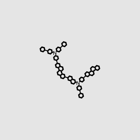 c1ccc(-c2ccc(N(c3ccc(-c4ccccc4)cc3)c3ccc(-c4ccc5c(ccc6c7cc(-c8ccc9cc(N(c%10ccc(-c%11ccccc%11)cc%10)c%10ccc(-c%11ccc%12c(ccc%13c%14ccccc%14ccc%12%13)c%11)cc%10)ccc9c8)ccc7ccc56)c4)cc3)cc2)cc1